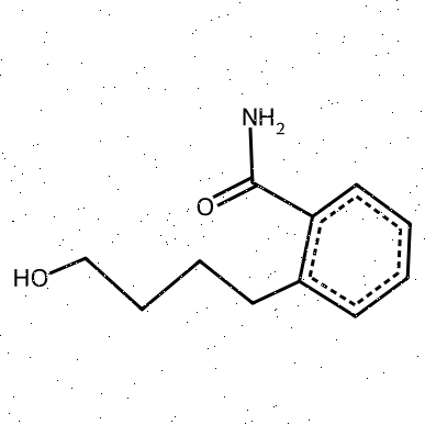 NC(=O)c1ccccc1CCCCO